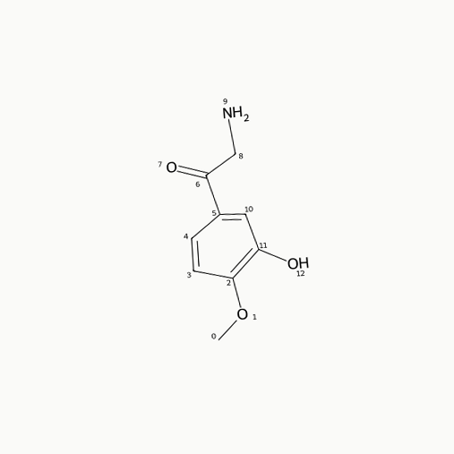 COc1ccc(C(=O)CN)cc1O